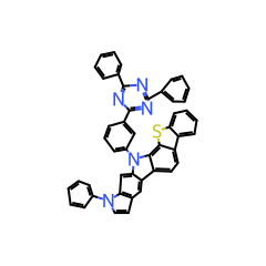 c1ccc(-c2nc(-c3ccccc3)nc(-c3cccc(-n4c5cc6c(ccn6-c6ccccc6)cc5c5ccc6c7ccccc7sc6c54)c3)n2)cc1